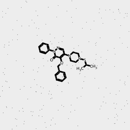 CC(C)SN1CCN(c2cnn(-c3ccccc3)c(=O)c2OCc2ccccc2)CC1